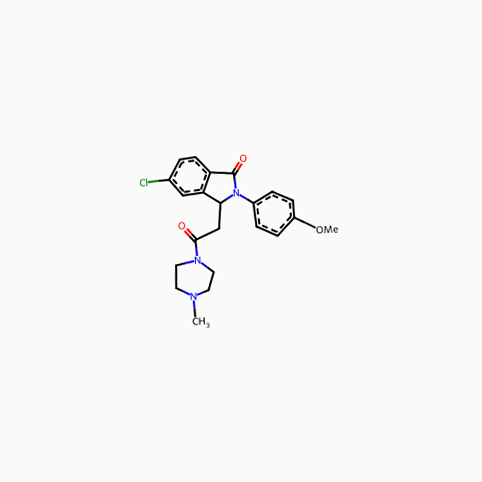 COc1ccc(N2C(=O)c3ccc(Cl)cc3C2CC(=O)N2CCN(C)CC2)cc1